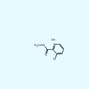 COC(=O)c1ncccc1Cl.[LiH]